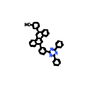 N#Cc1cccc(-c2cc3c4ccccc4c(-c4cccc(-c5nc(-c6ccccc6)nc(-c6ccccc6)n5)c4)cc3c3ccccc23)c1